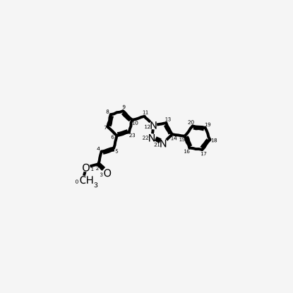 COC(=O)C=Cc1cccc(Cn2cc(-c3ccccc3)nn2)c1